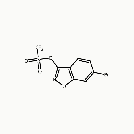 O=S(=O)(Oc1noc2cc(Br)ccc12)C(F)(F)F